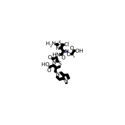 C[C@H](O/N=C(\C(=O)N[C@@H]1C(=O)N2C(C(=O)O)=C(C[n+]3ccc4c(ccn4C)c3)CSC12)c1nc(N)sc1Cl)C(=O)O